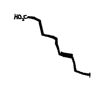 O=C(O)CCCC=CCI